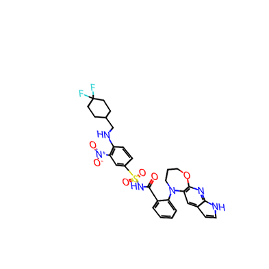 O=C(NS(=O)(=O)c1ccc(NCC2CCC(F)(F)CC2)c([N+](=O)[O-])c1)c1ccccc1N1CCCOc2nc3[nH]ccc3cc21